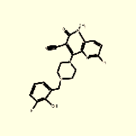 Cn1c(=O)c(C#N)c(N2CCN(Cc3cccc(F)c3O)CC2)c2nc(Cl)ccc21